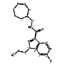 O=C(NCC1CCCCCC1)c1cn(CCO)c2cc(Br)ccc12